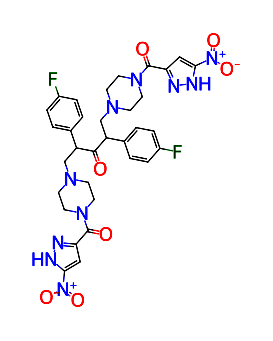 O=C(C(CN1CCN(C(=O)c2cc([N+](=O)[O-])[nH]n2)CC1)c1ccc(F)cc1)C(CN1CCN(C(=O)c2cc([N+](=O)[O-])[nH]n2)CC1)c1ccc(F)cc1